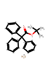 CC(C)(C)OC(=O)C(c1ccccc1)(c1ccccc1)c1ccccc1.S